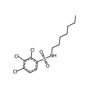 CCCCCCCNS(=O)(=O)c1ccc(Cl)c(Cl)c1Cl